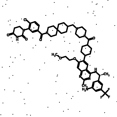 COCCOc1cc2nc(C)nc(N[C@H](C)c3cc(N)cc(C(F)(F)F)c3)c2cc1C1CCC(C(=O)N2CCN(CC3CCC4(CC3)CCN(C(=O)c3ccc(Cl)c(N5CCC(=O)NC5=O)c3)CC4)CC2)CC1